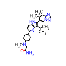 Cc1c(-c2[nH]c3ccc(C4CCC(N(C)CC(N)=O)CC4)nc3c2C(C)C)cn2ncnc2c1C